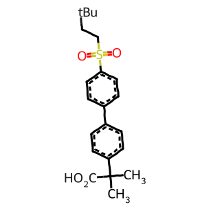 CC(C)(C)CCS(=O)(=O)c1ccc(-c2ccc(C(C)(C)C(=O)O)cc2)cc1